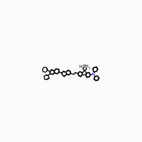 CCC1(CC)c2cc(/C=C/c3ccc4cc(-c5ccc6cc(C7=CCCCC7)c(C7=CCCC=C7)cc6c5)ccc4c3)ccc2-c2ccc(N(c3ccccc3)c3ccccc3)cc21